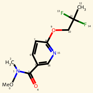 CON(C)C(=O)c1ccc(OCC(C)(F)F)nc1